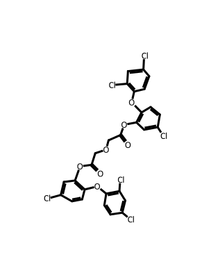 O=C(COCC(=O)Oc1cc(Cl)ccc1Oc1ccc(Cl)cc1Cl)Oc1cc(Cl)ccc1Oc1ccc(Cl)cc1Cl